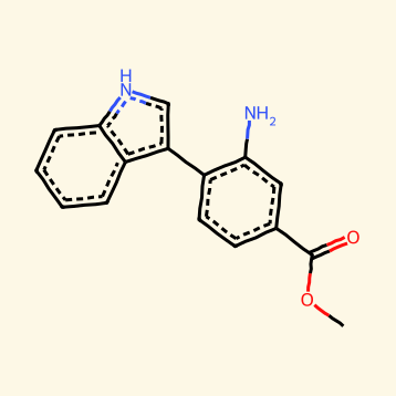 COC(=O)c1ccc(-c2c[nH]c3ccccc23)c(N)c1